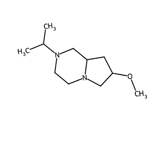 COC1CC2CN(C(C)C)CCN2C1